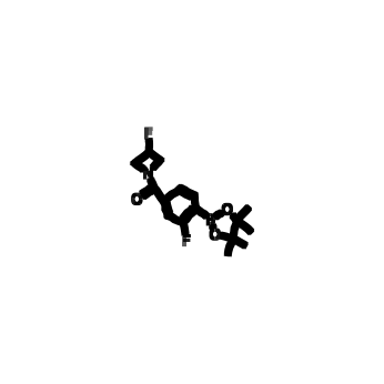 CC1(C)OB(c2ccc(C(=O)N3CC(F)C3)cc2F)OC1(C)C